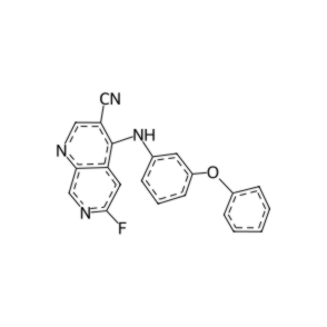 N#Cc1cnc2cnc(F)cc2c1Nc1cccc(Oc2ccccc2)c1